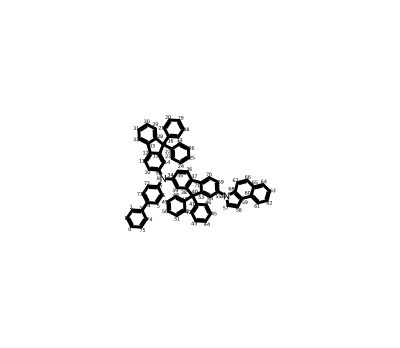 c1ccc(-c2ccc(N(c3ccc4c(c3)C(c3ccccc3)(c3ccccc3)c3ccccc3-4)c3ccc4c(c3)C(c3ccccc3)(c3ccccc3)c3cc(-n5ccc6c7ccccc7ccc65)ccc3-4)cc2)cc1